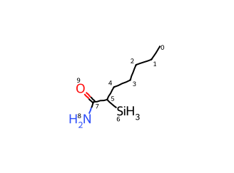 CCCCCC([SiH3])C(N)=O